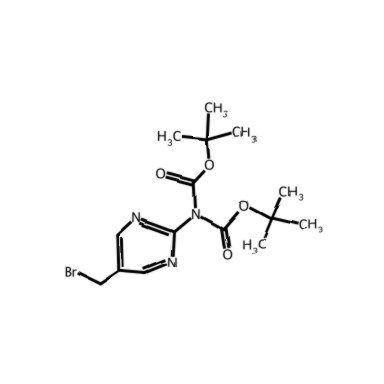 CC(C)(C)OC(=O)N(C(=O)OC(C)(C)C)c1ncc(CBr)cn1